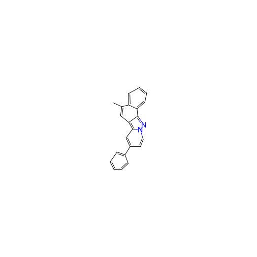 Cc1cc2c(nn3ccc(-c4ccccc4)cc23)c2ccccc12